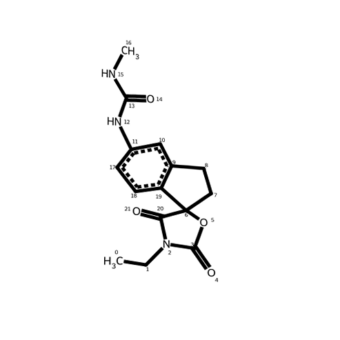 CCN1C(=O)OC2(CCc3cc(NC(=O)NC)ccc32)C1=O